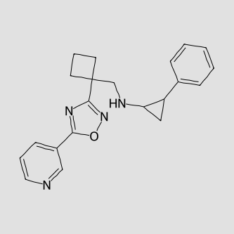 c1ccc(C2CC2NCC2(c3noc(-c4cccnc4)n3)CCC2)cc1